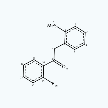 CSc1ccccc1CC(=O)c1ccccc1F